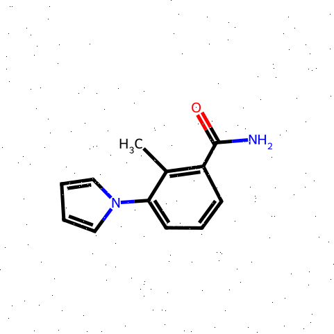 Cc1c(C(N)=O)cccc1-n1cccc1